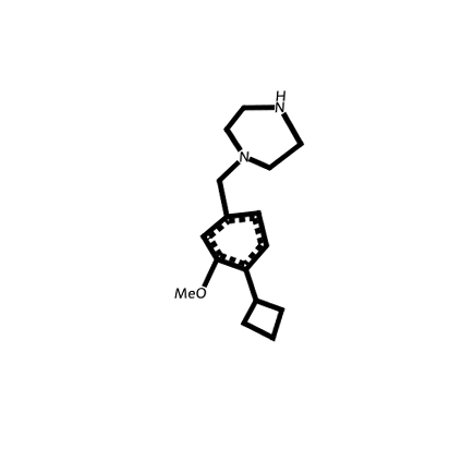 COc1cc(CN2CCNCC2)ccc1C1CCC1